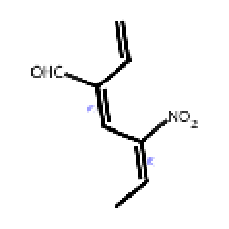 C=C/C(C=O)=C\C(=C/C)[N+](=O)[O-]